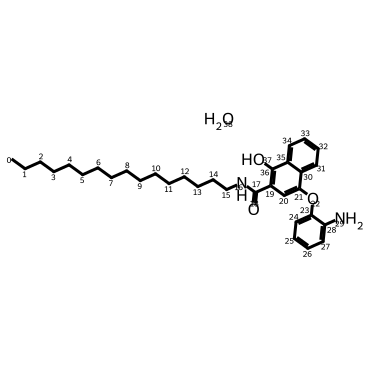 CCCCCCCCCCCCCCCCNC(=O)c1cc(Oc2ccccc2N)c2ccccc2c1O.O